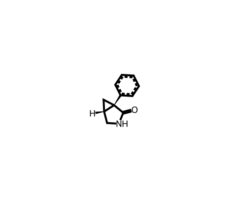 O=C1NC[C@@H]2C[C@]12c1ccccc1